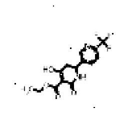 CCOC(=O)C1=C(O)CC(c2ccc(C(F)(F)F)nc2)NC1=O